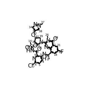 C[C@@H](Nc1ccc(Cl)nc1C(=O)NS(C)(=O)=O)c1cc(F)cc2c(=O)n(C)c(N3CC[C@H](Oc4cnn(C)c4)C3)nc12